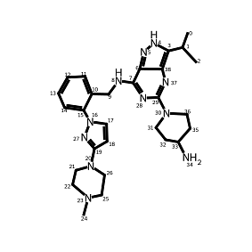 CC(C)c1[nH]nc2c(NCc3ccccc3-n3ccc(N4CCN(C)CC4)n3)nc(N3CCC(N)CC3)nc12